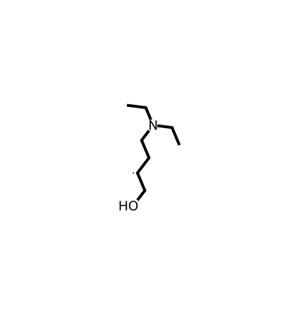 CCN(CC)CC[CH]CO